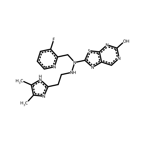 Cc1nc(CCNN(Cc2ncccc2F)c2nc3cnc(O)nc3s2)[nH]c1C